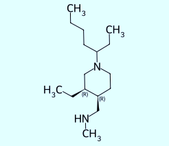 CCCCC(CC)N1CC[C@@H](CNC)[C@@H](CC)C1